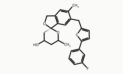 Cc1cc2c(cc1Cc1ccc(-c3cccc(F)c3)s1)[C@]1(CC(O)CC(C)O1)OC2